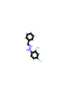 Fc1ccc(N/N=C/c2ccccc2)c(F)c1